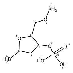 BOCC1OC(B)CC1OP(=O)(O)O